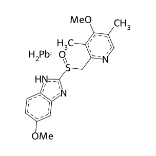 COc1ccc2[nH]c(S(=O)Cc3ncc(C)c(OC)c3C)nc2c1.[PbH2]